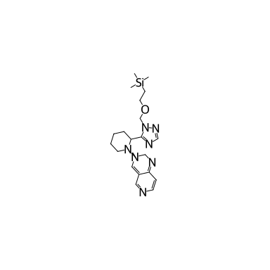 C[Si](C)(C)CCOCn1ncnc1C1CCCCN1N1C=c2cnccc2=NC1